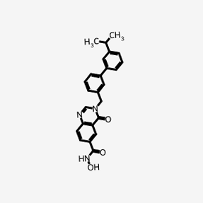 CC(C)c1cccc(-c2cccc(Cn3cnc4ccc(C(=O)NO)cc4c3=O)c2)c1